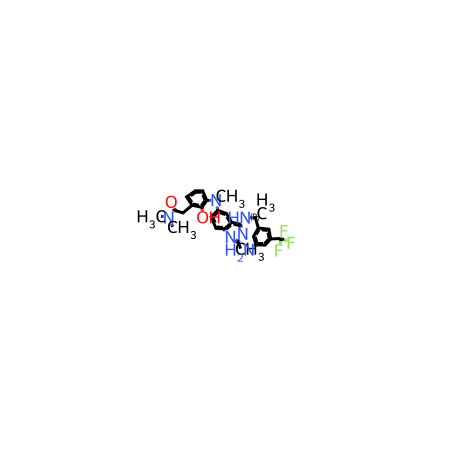 Cc1nc(N[C@H](C)c2cc(N)cc(C(F)(F)F)c2)c2cc(N(C)c3cccc(CC(=O)N(C)C)c3O)ccc2n1